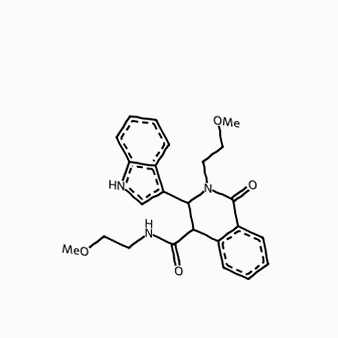 COCCNC(=O)C1c2ccccc2C(=O)N(CCOC)C1c1c[nH]c2ccccc12